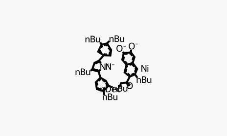 CCCCC1=C(c2ccc(CCCC)c(CCCC)c2)[N+](=[N-])C(c2ccc(CCCC)c(CCCC)c2)=C1.CCCCCCCCCCCC(=O)c1cc2cc([O-])c([O-])cc2cc1CCCC.[Ni]